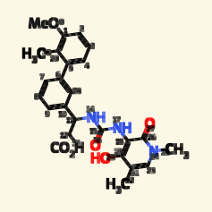 COc1cccc(-c2cccc(C(CC(=O)O)NC(=O)Nc3c(O)c(C)cn(C)c3=O)c2)c1C